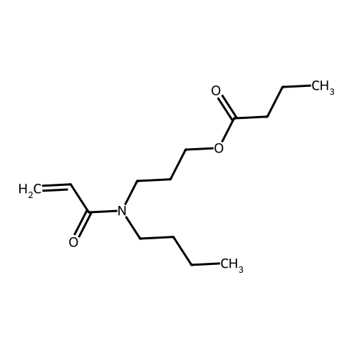 C=CC(=O)N(CCCC)CCCOC(=O)CCC